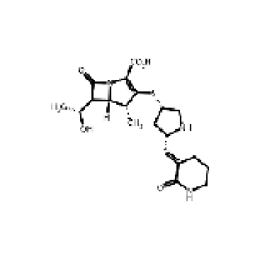 C[C@@H](O)[C@H]1C(=O)N2C(C(=O)O)=C(S[C@@H]3CN[C@H](/C=C4\CCCNC4=O)C3)[C@H](C)[C@H]12